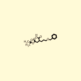 CC(C)(C)OC(=O)CC(CCCOCc1ccccc1)C(=O)O